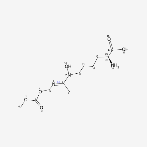 COC(=O)OC/N=C(\C)N(O)CCCC[C@H](N)C(=O)O